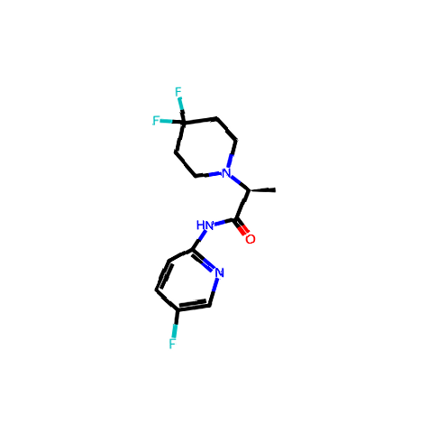 C[C@@H](C(=O)Nc1ccc(F)cn1)N1CCC(F)(F)CC1